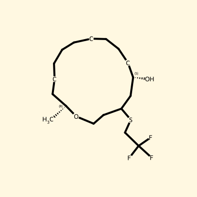 C[C@@H]1CCCCCCCCC[C@H](O)CC(SCC(F)(F)F)CCO1